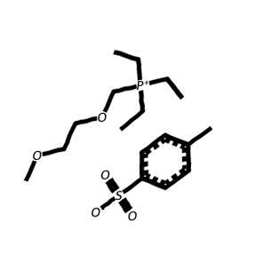 CC[P+](CC)(CC)COCCOC.Cc1ccc(S(=O)(=O)[O-])cc1